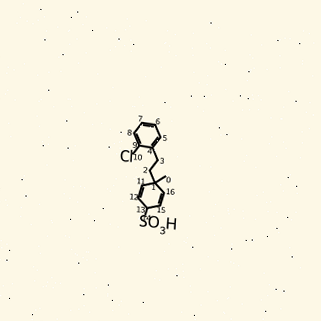 CC1(CCc2ccccc2Cl)C=CC(S(=O)(=O)O)C=C1